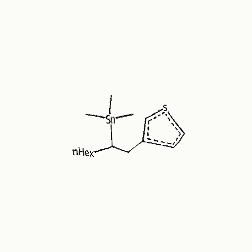 CCCCCC[CH](Cc1ccsc1)[Sn]([CH3])([CH3])[CH3]